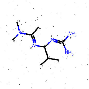 C/C(=N\C(N=C(N)N)C(C)C)N(C)C